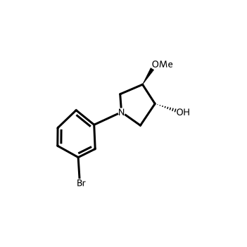 CO[C@@H]1CN(c2cccc(Br)c2)C[C@H]1O